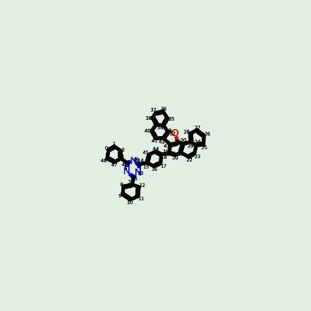 c1ccc(-c2nc(-c3ccccc3)nc(-c3ccc(-c4cc5ccc6ccccc6c5c5oc6c7ccccc7ccc6c45)cc3)n2)cc1